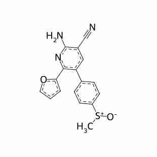 C[S+]([O-])c1ccc(-c2cc(C#N)c(N)nc2-c2ccco2)cc1